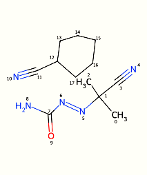 CC(C)(C#N)N=NC(N)=O.N#CC1CCCCC1